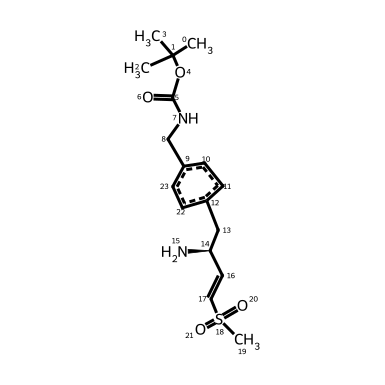 CC(C)(C)OC(=O)NCc1ccc(C[C@H](N)/C=C/S(C)(=O)=O)cc1